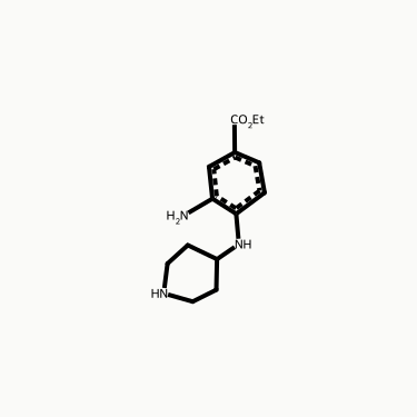 CCOC(=O)c1ccc(NC2CCNCC2)c(N)c1